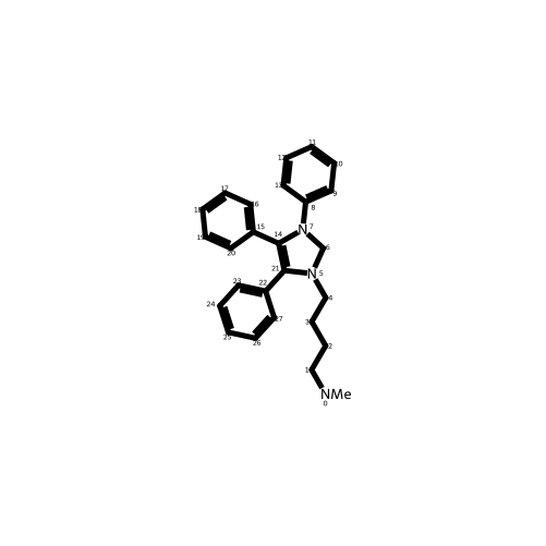 CNCCCCN1CN(c2ccccc2)C(c2ccccc2)=C1c1ccccc1